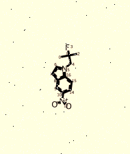 CC(C)(F)Cn1ccc2cc([N+](=O)[O-])ccc21